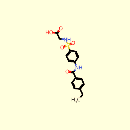 CCc1ccc(C(=O)Nc2ccc(S(=O)(=O)NCC(=O)O)cc2)cc1